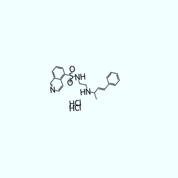 CC(C=Cc1ccccc1)NCCNS(=O)(=O)c1cccc2cnccc12.Cl.Cl